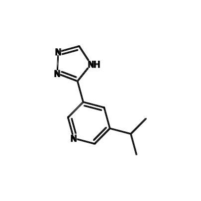 CC(C)c1cncc(-c2nnc[nH]2)c1